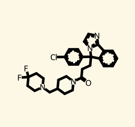 O=C(CCC1(c2ccc(Cl)cc2)c2ccccc2-c2nccn21)N1CCC(CN2CCC(F)(F)CC2)CC1